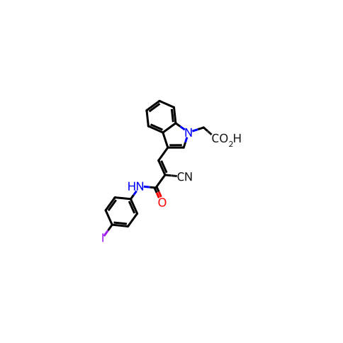 N#C/C(=C\c1cn(CC(=O)O)c2ccccc12)C(=O)Nc1ccc(I)cc1